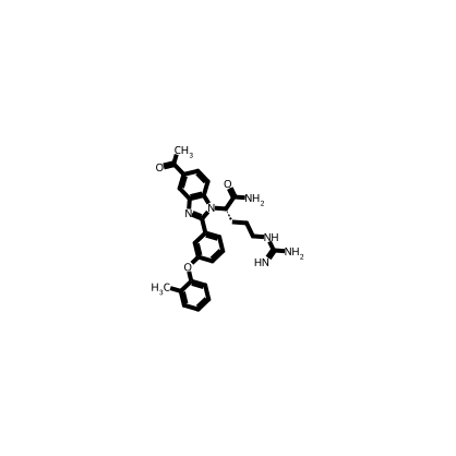 CC(=O)c1ccc2c(c1)nc(-c1cccc(Oc3ccccc3C)c1)n2[C@@H](CCCNC(=N)N)C(N)=O